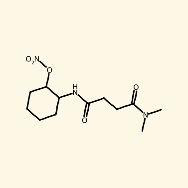 CN(C)C(=O)CCC(=O)NC1CCCCC1O[N+](=O)[O-]